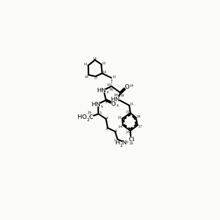 NCCCCC(NC(=O)N[C@H](CC1CCCCC1)C(=O)NCc1ccc(Cl)cc1)C(=O)O